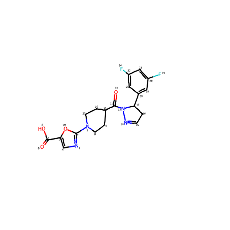 O=C(O)c1cnc(N2CCC(C(=O)N3N=CCC3c3cc(F)cc(F)c3)CC2)o1